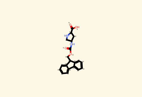 O=C(NC1CNC(C(=O)O)C1)OCC1c2ccccc2-c2ccccc21